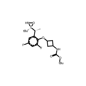 C[C@H](c1cc(F)cc(F)c1OC1CC(NC(=O)OC(C)(C)C)C1)[S@@]1(C(C)(C)C)NO1